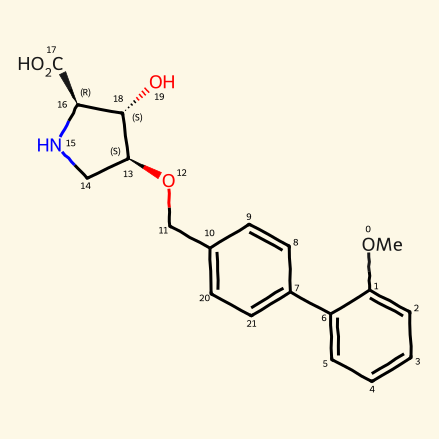 COc1ccccc1-c1ccc(CO[C@H]2CN[C@@H](C(=O)O)[C@@H]2O)cc1